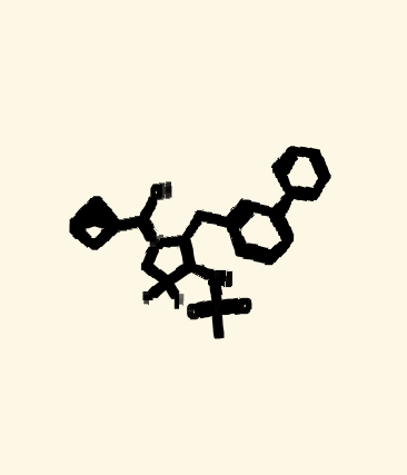 CS(=O)(=O)N[C@@H]1[C@H](Cc2cccc(-c3ccccc3)c2)N(C(O)C23CC(C2)C3)CC1(F)F